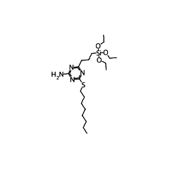 CCCCCCCCSc1nc(N)nc(CCC[Si](OCC)(OCC)OCC)n1